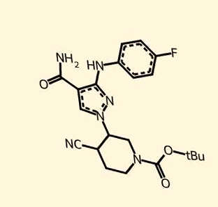 CC(C)(C)OC(=O)N1CCC(C#N)C(n2cc(C(N)=O)c(Nc3ccc(F)cc3)n2)C1